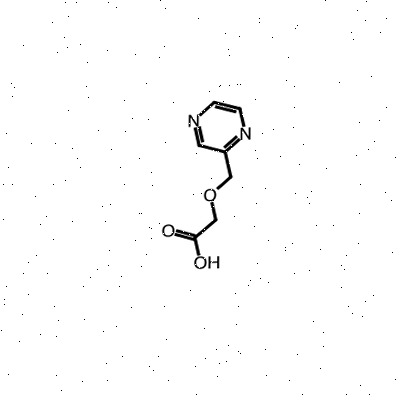 O=C(O)COCc1cnccn1